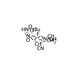 CC(C)(O)Cn1ccc2cc(-c3ccc(C(=O)N4CCC(NC(=O)OC(C)(C)C)C4)cc3-c3ccc(C#N)c(F)c3)c(F)cc21